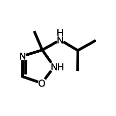 CC(C)NC1(C)N=CON1